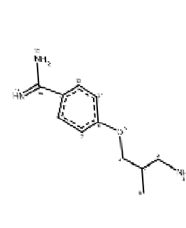 CC(CN)COc1ccc(C(=N)N)cc1